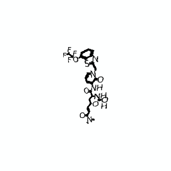 CN(C)C(=O)C=CCCC(NC(=O)O)C(=O)Nc1cccn(Cc2nc3cccc(OC(F)(F)C(F)F)c3s2)c1=O